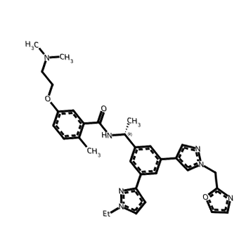 CCn1ccc(-c2cc(-c3cnn(Cc4ncco4)c3)cc([C@@H](C)NC(=O)c3cc(OCCN(C)C)ccc3C)c2)n1